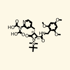 COc1cc(OC)c(CNC(=O)[C@@H]2[C@@H](Cc3ccnc(N(C(=O)O)C(=O)O)c3)C(=O)N2[Si](C)(C)C(C)(C)C)c(OC)c1